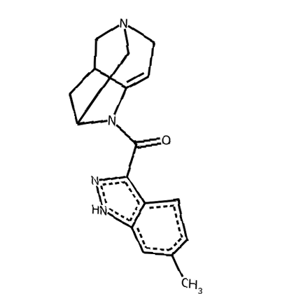 Cc1ccc2c(C(=O)N3C4=CCN5CC4CC3C5)n[nH]c2c1